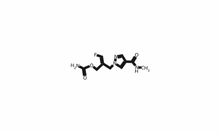 CNC(=O)c1cnn(CC(=CF)COC(N)=O)c1